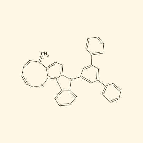 C=C1/C=C\C=C/CSc2c1ccc1c2c2ccccc2n1-c1cc(-c2ccccc2)cc(-c2ccccc2)c1